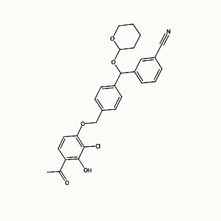 CC(=O)c1ccc(OCc2ccc(C(OC3CCCCO3)c3cccc(C#N)c3)cc2)c(Cl)c1O